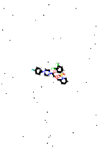 O=C(COCC1CCCCN1S(=O)(=O)c1ccc(Cl)c(Cl)c1)N1CCN(c2ccc(F)cc2)CC1